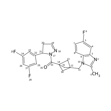 Cc1nc2cc(F)ccc2n1CC12CC(C(=O)N3N=CCC3c3cc(F)cc(F)c3)(C1)C2